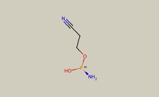 N#CCCO[P@@](N)O